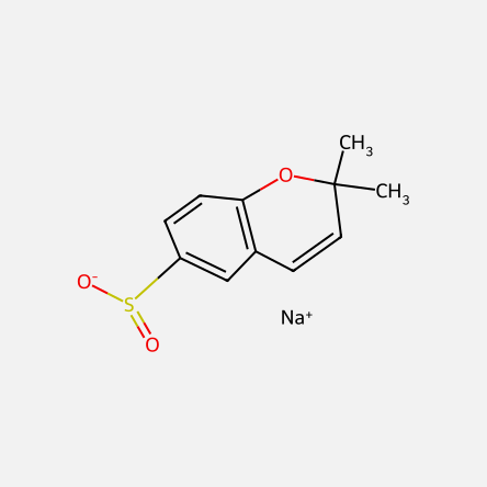 CC1(C)C=Cc2cc(S(=O)[O-])ccc2O1.[Na+]